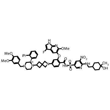 COc1ccc(CN2CCN(C3CC4(C3)CN(c3ccc(C(=O)NS(=O)(=O)c5cnc(NCC6CCC(C)(O)CC6)c([N+](=O)[O-])c5)c(Oc5cc6c(F)c[nH]c6nc5OC)c3)C4)[C@H](c3ccccc3C(C)C)C2)cc1OC